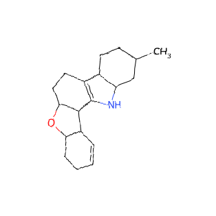 CC1CCC2C3=C(NC2C1)C1C(CC3)OC2CCC=CC21